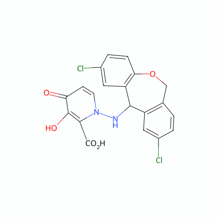 O=C(O)c1c(O)c(=O)ccn1NC1c2cc(Cl)ccc2COc2ccc(Cl)cc21